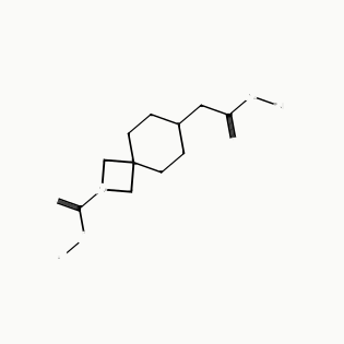 CC(C)(C)OC(=O)N1CC2(CCC(CC(=O)NN)CC2)C1